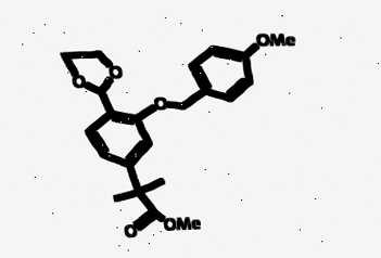 COC(=O)C(C)(C)c1ccc(C2OCCO2)c(OCc2ccc(OC)cc2)c1